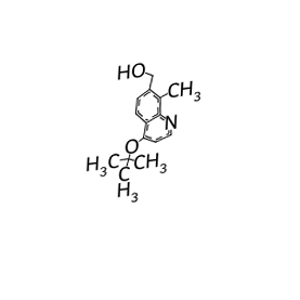 Cc1c(CO)ccc2c(OC(C)(C)C)ccnc12